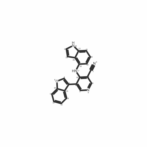 N#Cc1cncc(-c2coc3ccccc23)c1Nc1cccc2[nH]ccc12